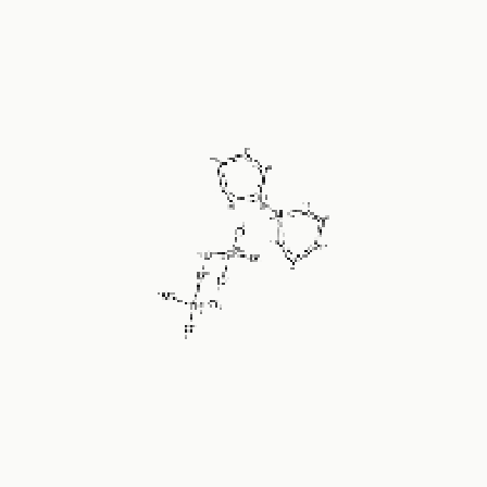 [O-][Cl+3]([O-])([O-])[O-].[O-][Cl+3]([O-])([O-])[O-].c1cc[n+](-[n+]2ccccc2)cc1